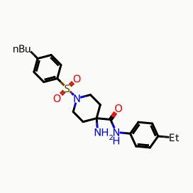 CCCCc1ccc(S(=O)(=O)N2CCC(N)(C(=O)Nc3ccc(CC)cc3)CC2)cc1